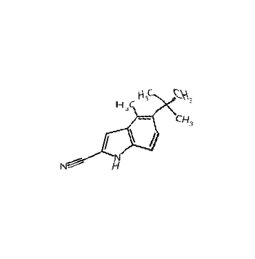 Cc1c(C(C)(C)C)ccc2[nH]c(C#N)cc12